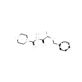 C[C@@H](OCc1ccccc1)C(=O)NC(=O)N1CCOCC1